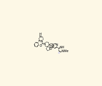 CN/C=C\C(=N)c1cc(=O)n(C[C@]2(O)CCN(C(=O)N3CCNC[C@H]3c3ccccc3)CC23CCCC3)cn1